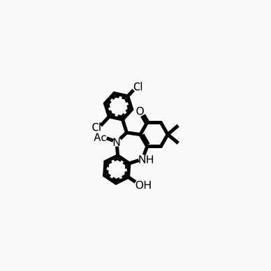 CC(=O)N1c2cccc(O)c2NC2=C(C(=O)CC(C)(C)C2)C1c1cc(Cl)ccc1Cl